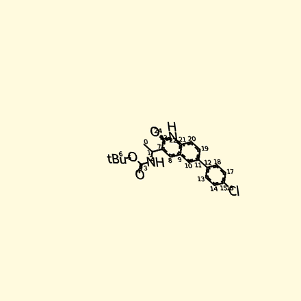 CC(NC(=O)OC(C)(C)C)c1cc2cc(-c3ccc(Cl)cc3)ccc2[nH]c1=O